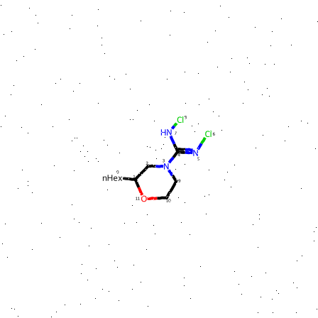 CCCCCCC1CN(C(=NCl)NCl)CCO1